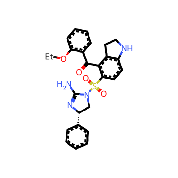 CCOc1ccccc1C(=O)c1c(S(=O)(=O)N2C[C@H](c3ccccc3)N=C2N)ccc2c1CCN2